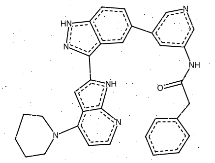 O=C(Cc1ccccc1)Nc1cncc(-c2ccc3[nH]nc(-c4cc5c(N6CCCCC6)ccnc5[nH]4)c3c2)c1